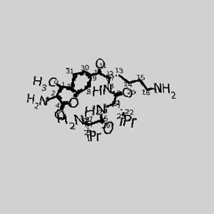 Cc1c(N)c(=O)oc2cc(C(=O)[C@H](CCCCN)NC(=O)[C@H](CC(C)C)NC(=O)[C@@H](N)C(C)C)ccc12